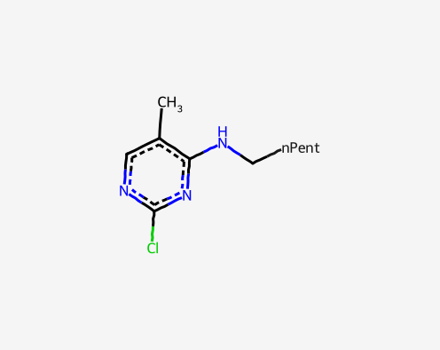 CCCCCCNc1nc(Cl)ncc1C